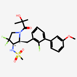 COc1cccc(-c2cccc(C[C@H]3[C@@H](NS(C)(=O)=O)C(F)(F)CN3C(=O)C(C)(C)O)c2F)c1